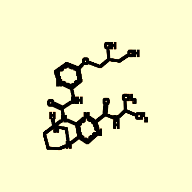 CC(NC(=O)c1ncc2c(n1)N(C(=O)Nc1cc(OCC(O)CO)ccn1)[C@H]1CCCN2C1)C(F)(F)F